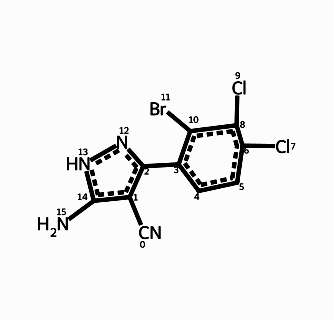 N#Cc1c(-c2ccc(Cl)c(Cl)c2Br)n[nH]c1N